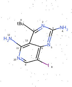 CC(C)(C)c1nc(N)nc2c(I)cnc(N)c12